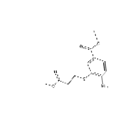 COC(=O)CCSc1cc(C(=O)OC)ccc1N